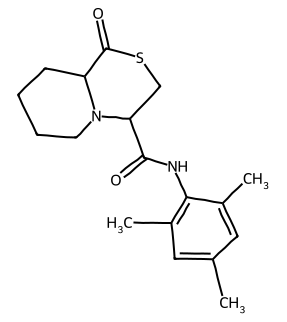 Cc1cc(C)c(NC(=O)C2CSC(=O)C3CCCCN23)c(C)c1